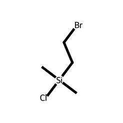 C[Si](C)(Cl)CCBr